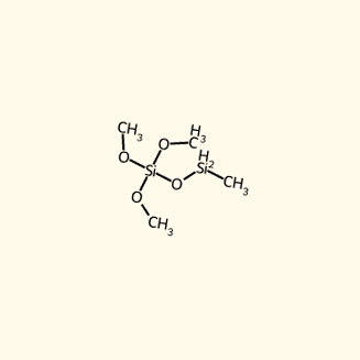 CO[Si](OC)(OC)O[SiH2]C